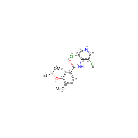 CCC(OC)Oc1cc(C(=O)Nc2c(Cl)cncc2Cl)ccc1OC